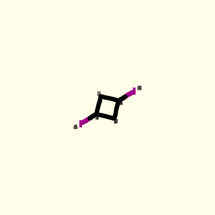 IC1CC(I)C1